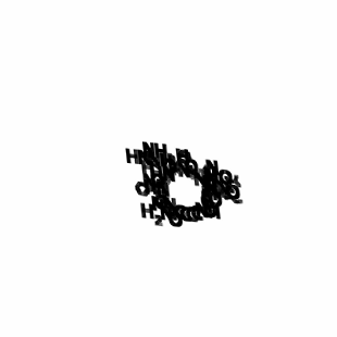 CCCC[C@H](NC(=O)C(O)C(C)C)C(=O)N[C@H]1CCC(=O)NCCCC[C@@H](C(N)=O)NC(=O)[C@H](Cc2c[nH]c3ccccc23)NC(=O)[C@H](CCCNC(=N)N)NC(=O)[C@@H](Cc2ccccc2)NC(=O)[C@H](Cc2cccnc2)NC1=O